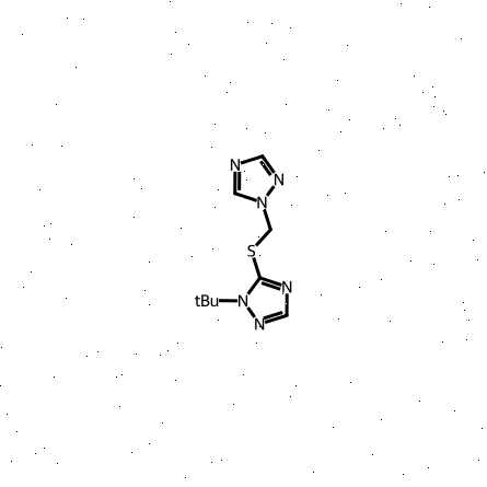 CC(C)(C)n1ncnc1SCn1cncn1